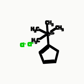 [CH3][Zr+2]([CH3])([CH3])([CH3])[C]1=CC=CC1.[Cl-].[Cl-]